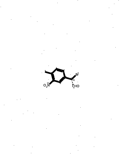 Cc1ccc([C@H](Br)C=O)cc1[N+](=O)[O-]